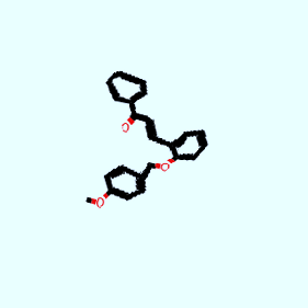 COc1ccc(COc2ccccc2C=CC(=O)c2ccccc2)cc1